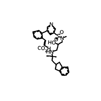 CN(CC(O)CNC(C)(C)CC1Cc2ccccc2C1)S(=O)(=O)c1cncc(-c2ccccc2C=CC(=O)O)c1